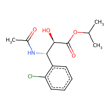 CC(=O)N[C@@H](c1ccccc1Cl)[C@@H](O)C(=O)OC(C)C